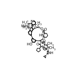 CO[C@@H](C)c1ncccc1-c1c2c3cc(ccc3n1C)-c1cc(O)cc(c1)C[C@H](NC(=O)[C@H](C1CCCC1)N(C)C(=O)[C@H](C)N(C)C(=O)[C@@H]1N[C@@H]1C1CC1)C(=O)N1CCC[C@H](N1)C(=O)OCC(C)(C)C2